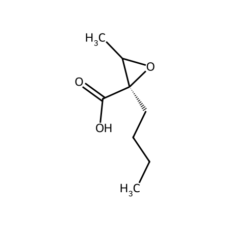 CCCC[C@@]1(C(=O)O)OC1C